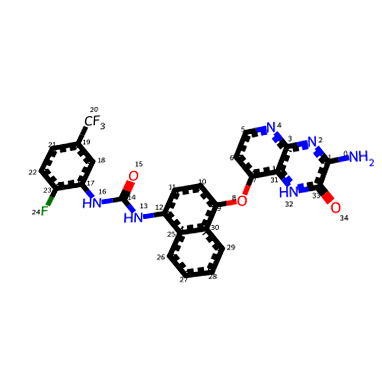 Nc1nc2nccc(Oc3ccc(NC(=O)Nc4cc(C(F)(F)F)ccc4F)c4ccccc34)c2[nH]c1=O